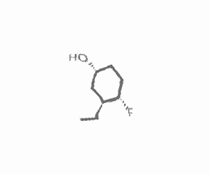 CC[C@H]1C[C@H](O)CC[C@@H]1F